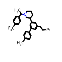 Cc1ccc(-c2cc(CCC(C)C)cc(C3CCCN(C(C)c4ccc(C(F)(F)F)cc4)C3)c2)cc1